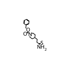 NC(=S)CCC1CCN(C(=O)OCc2ccccc2)CC1